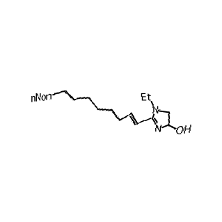 CCCCCCCCCCCCCCCC=CC1=NC(O)CN1CC